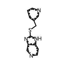 c1cncc(CSc2nc3cnccc3[nH]2)c1